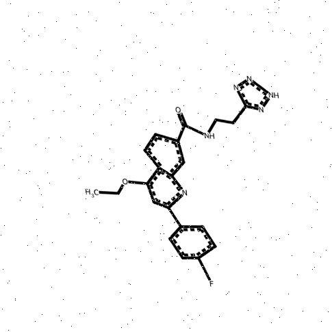 CCOc1cc(-c2ccc(F)cc2)nc2cc(C(=O)NCCc3nn[nH]n3)ccc12